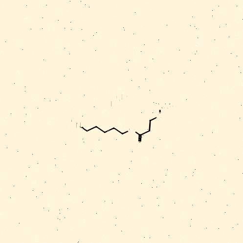 CNSCCC(=O)OCCCCCN.Cl.Cl